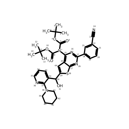 CC(C)(C)OC(=O)N(C(=O)OC(C)(C)C)c1nc(-c2cccc(C#N)c2)nc2sc(C(O)c3cccnc3N3CCCCC3)cc12